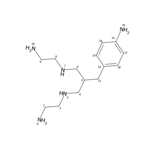 NCCNCC(CNCCN)Cc1ccc(N)cc1